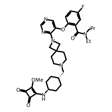 CCN(C(=O)c1cc(F)ccc1Oc1cncnc1N1CC2(CCN(C[C@H]3CC[C@H](Nc4c(OC)c(=O)c4=O)CC3)CC2)C1)C(C)C